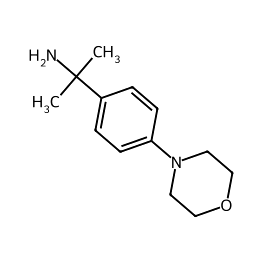 CC(C)(N)c1ccc(N2CCOCC2)cc1